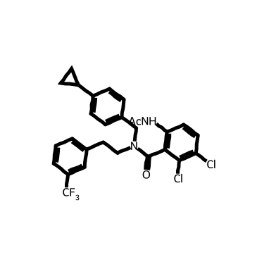 CC(=O)Nc1ccc(Cl)c(Cl)c1C(=O)N(CCc1cccc(C(F)(F)F)c1)Cc1ccc(C2CC2)cc1